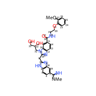 CNC(=N)c1ccc2[nH]c(Cc3nc4ccc(C(=O)NCCOc5ccccc5OC)cc4n3CC(O)CO)nc2c1